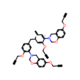 C#CCOC(=C/C(C)Cc1ccc(OCC#C)c(N2COc3ccc(OCC#C)cc3C2)c1)/C(=C\C=C)N1COc2ccc(OCC#C)cc2C1